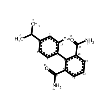 CC(C)c1ccc(-c2c(C(N)=O)cccc2C(N)=O)c(F)c1